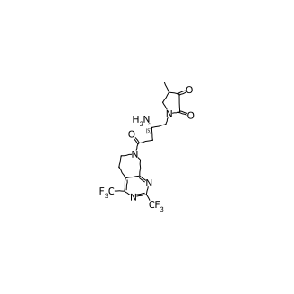 CC1CN(C[C@@H](N)CC(=O)N2CCc3c(nc(C(F)(F)F)nc3C(F)(F)F)C2)C(=O)C1=O